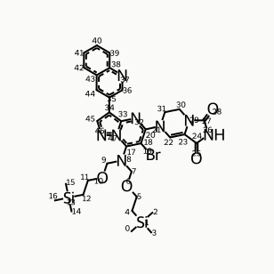 C[Si](C)(C)CCOCN(COCC[Si](C)(C)C)c1c(Br)c(N2C=C3C(=O)NC(=O)N3CC2)nc2c(-c3cnc4ccccc4c3)cnn12